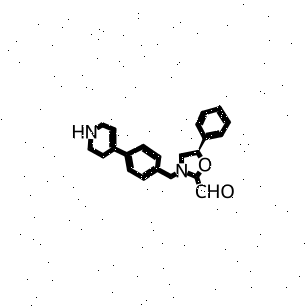 O=CC1O[C@H](c2ccccc2)CN1Cc1ccc(C2=CCNCC2)cc1